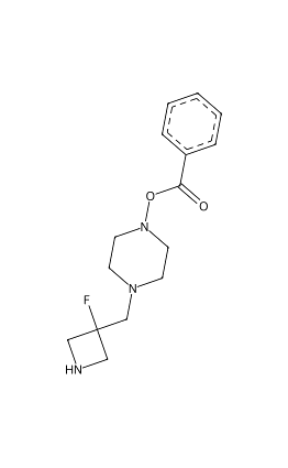 O=C(ON1CCN(CC2(F)CNC2)CC1)c1ccccc1